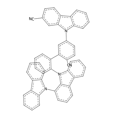 N#Cc1ccc2c3ccccc3n(-c3ccc(C#N)c(-c4ccccc4-n4c5ccccc5c5cccc(-n6c7ccccc7c7ccccc76)c54)c3)c2c1